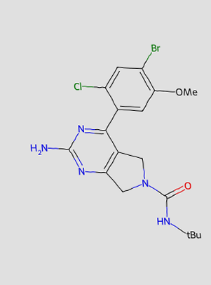 COc1cc(-c2nc(N)nc3c2CN(C(=O)NC(C)(C)C)C3)c(Cl)cc1Br